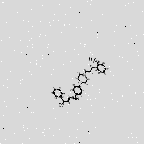 CCC(C=CNc1ccc(N2CCN(C=CCc3ccccc3C)CC2)cc1)c1ccccc1